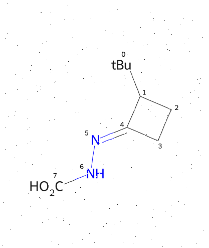 CC(C)(C)C1CC/C1=N\NC(=O)O